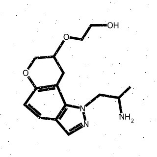 CC(N)Cn1ncc2ccc3c(c21)CC(OCCO)CO3